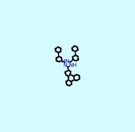 c1ccc(-c2cccc(C3N=C(c4ccc5c6ccccc6c6ccccc6c5c4)NC(c4cccc(-c5ccccc5)c4)N3)c2)cc1